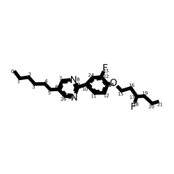 CCCCCCc1cnc(-c2ccc(OCCC(F)CCC)c(F)c2)nc1